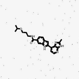 Cc1nc2c(-c3cc4ccc(C(=O)NCCCOC(C)C)cc4[nH]3)ccnc2[nH]1